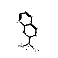 CCCCN(C)C1CC=C2C=CC=NC2C1